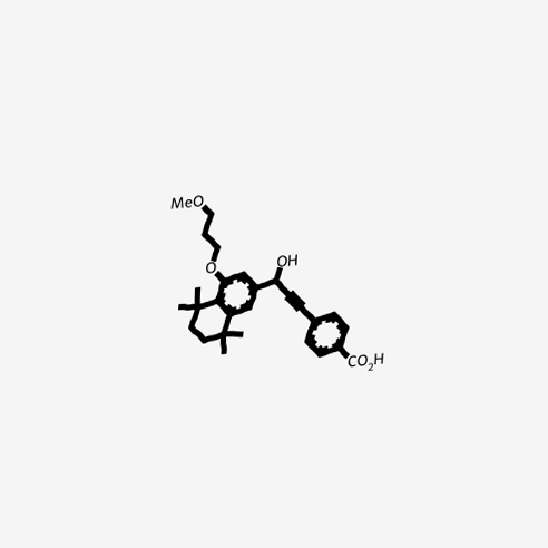 COCCCOc1cc(C(O)C#Cc2ccc(C(=O)O)cc2)cc2c1C(C)(C)CCC2(C)C